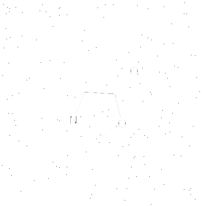 O=C1C[N]CO1